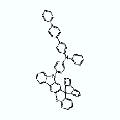 c1ccc(-c2ccc(-c3ccc(N(c4ccccc4)c4ccc(-n5c6ccccc6c6cc7c(cc65)C5(c6ccccc6S7)c6ccccc6-c6ccccc65)cc4)cc3)cc2)cc1